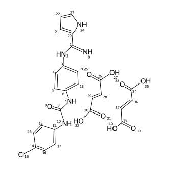 N=C(Nc1ccc(NC(=O)Nc2ccc(Cl)cc2)cc1)c1ccc[nH]1.O=C(O)/C=C/C(=O)O.O=C(O)/C=C/C(=O)O